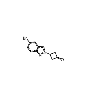 O=C1CC(n2cc3cc(Br)ccc3n2)C1